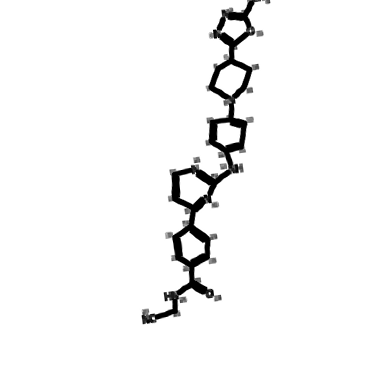 Cc1nnc(C2CCN(c3ccc(Nc4nccc(-c5ccc(C(=O)NCC#N)cc5)n4)cc3)CC2)o1